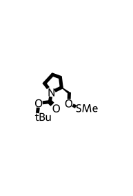 CSOC[C@@H]1CCCN1C(=O)OC(C)(C)C